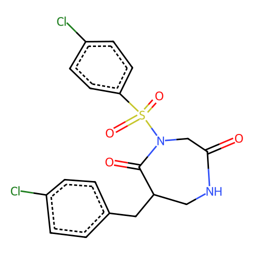 O=C1CN(S(=O)(=O)c2ccc(Cl)cc2)C(=O)C(Cc2ccc(Cl)cc2)CN1